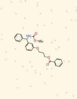 CC(C)(C)OC(=O)NC(c1ccccc1)c1cccc(OCCCOC(=O)c2ccccc2)c1